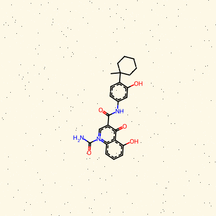 CC1(c2ccc(NC(=O)c3cn(C(N)=O)c4cccc(O)c4c3=O)cc2O)CCCCC1